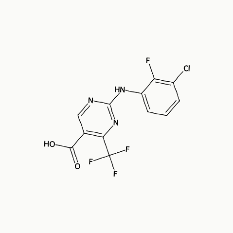 O=C(O)c1cnc(Nc2cccc(Cl)c2F)nc1C(F)(F)F